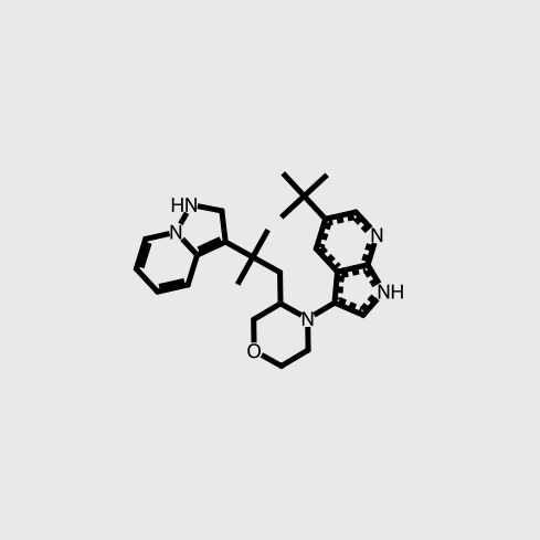 CC(C)(CC1COCCN1c1c[nH]c2ncc(C(C)(C)C)cc12)C1=C2C=CC=CN2NC1